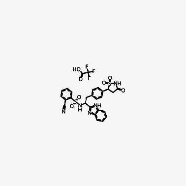 N#Cc1ccccc1S(=O)(=O)N[C@@H](Cc1ccc(C2CC(=O)NS2(=O)=O)cc1)c1nc2ccccc2[nH]1.O=C(O)C(F)(F)F